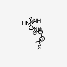 C/C=C\C(=C/C(C)C(=N)N(C=N)C1CC1)NC(=O)c1cc(C(/C=C\C)=C/N=C(\CC)SCC(C)C)ccn1